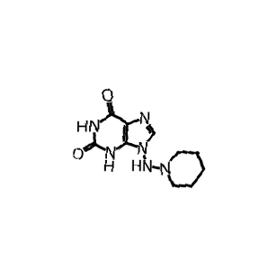 O=c1[nH]c(=O)c2ncn(NN3CCCCC3)c2[nH]1